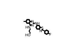 Cc1ccc2nc(Nc3ccc4nc(-c5ccc(F)cc5)sc4c3)nc(NCCCO)c2c1